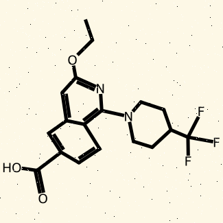 CCOc1cc2cc(C(=O)O)ccc2c(N2CCC(C(F)(F)F)CC2)n1